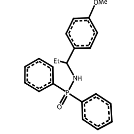 CCC(NP(=O)(c1ccccc1)c1ccccc1)c1ccc(OC)cc1